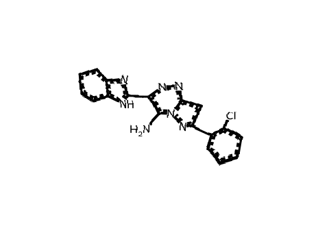 Nc1c(-c2nc3ccccc3[nH]2)nnc2cc(-c3ccccc3Cl)nn12